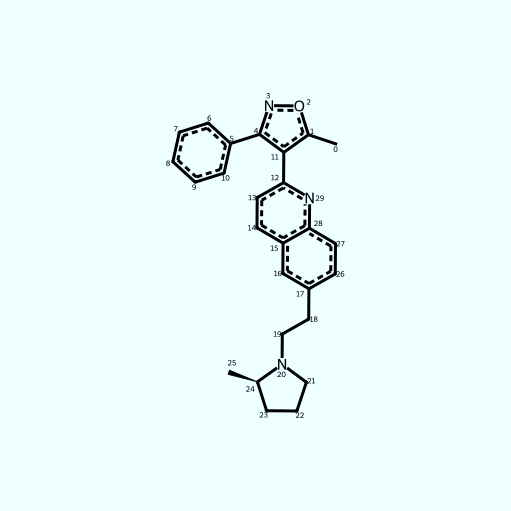 Cc1onc(-c2ccccc2)c1-c1ccc2cc(CCN3CCC[C@H]3C)ccc2n1